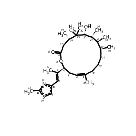 C/C1=C/C[C@@H](/C(C)=C/c2csc(C)n2)OC(=O)C[C@H](C)C(C)(C)[C@H](O)[C@H](C)[C@@H](C)[C@@H](C)CCC1